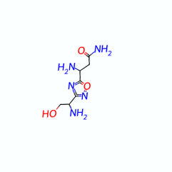 NC(=O)CC(N)c1nc(C(N)CO)no1